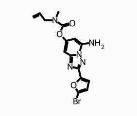 C=CCN(C)C(=O)Oc1cc(N)n2nc(-c3ccc(Br)o3)nc2c1